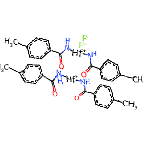 Cc1ccc(C(=O)[NH][Hf+][NH]C(=O)c2ccc(C)cc2)cc1.Cc1ccc(C(=O)[NH][Hf+][NH]C(=O)c2ccc(C)cc2)cc1.[F-].[F-]